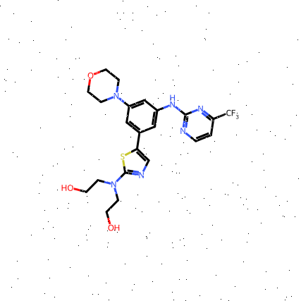 OCCN(CCO)c1ncc(-c2cc(Nc3nccc(C(F)(F)F)n3)cc(N3CCOCC3)c2)s1